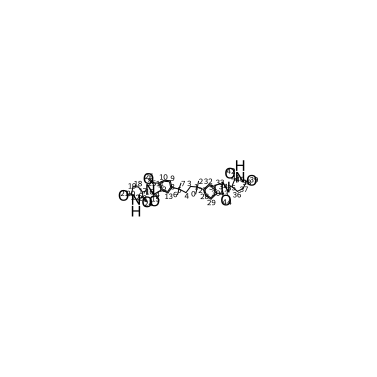 CC(C)(CCC(C)(C)c1ccc2c(c1)C(=O)N(C1CCC(=O)NC1=O)C2=O)c1ccc2c(c1)CN(C1CCC(=O)NC1=O)C2=O